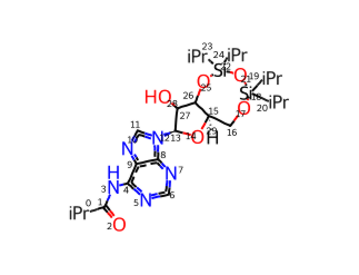 CC(C)C(=O)Nc1ncnc2c1ncn2[C@@H]1O[C@@H]2CO[Si](C(C)C)(C(C)C)O[Si](C(C)C)(C(C)C)OC2C1O